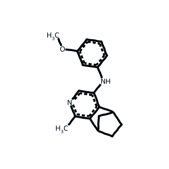 COc1cccc(Nc2cnc(C)c3c2C2CCC3C2)c1